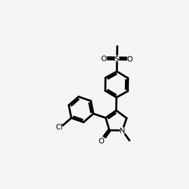 CN1CC(c2ccc(S(C)(=O)=O)cc2)=C(c2cccc(Cl)c2)C1=O